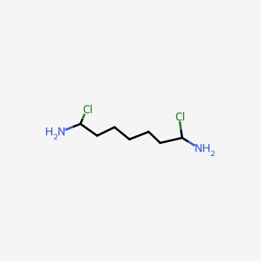 NC(Cl)CCCCCC(N)Cl